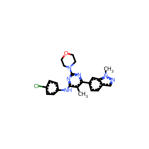 Cc1c(Nc2ccc(Cl)cc2)nc(N2CCOCC2)nc1-c1ccc2cnn(C)c2c1